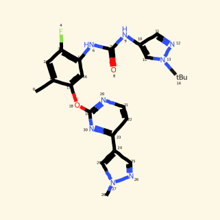 Cc1cc(F)c(NC(=O)Nc2cnn(C(C)(C)C)c2)cc1Oc1nccc(-c2cnn(C)c2)n1